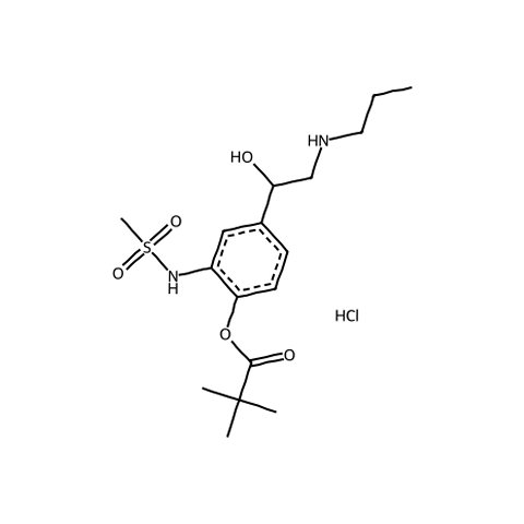 CCCNCC(O)c1ccc(OC(=O)C(C)(C)C)c(NS(C)(=O)=O)c1.Cl